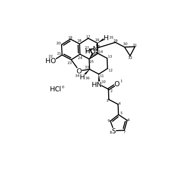 Cl.O=C(CCc1ccsc1)N[C@@H]1CC[C@@]2(O)[C@H]3Cc4ccc(O)c5c4[C@@]2(CCN3CC2CC2)[C@H]1O5